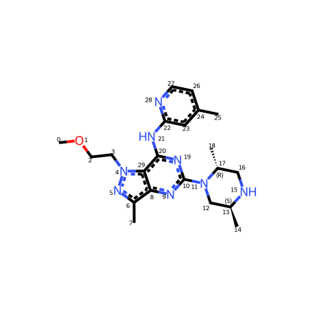 COCCn1nc(C)c2nc(N3C[C@H](C)NC[C@H]3C)nc(Nc3cc(C)ccn3)c21